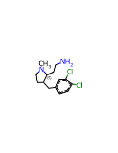 CN1CCC(Cc2ccc(Cl)c(Cl)c2)[C@@H]1CCN